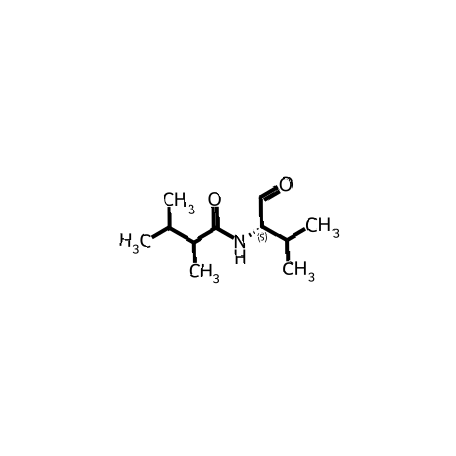 CC(C)C(C)C(=O)N[C@H](C=O)C(C)C